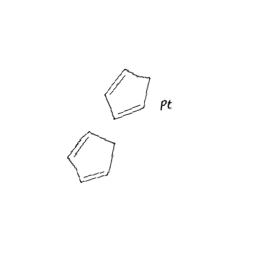 C1=CCC=C1.C1=CCC=C1.[Pt]